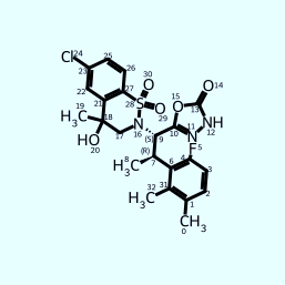 Cc1ccc(F)c([C@@H](C)[C@@H](c2n[nH]c(=O)o2)N2CC(C)(O)c3cc(Cl)ccc3S2(=O)=O)c1C